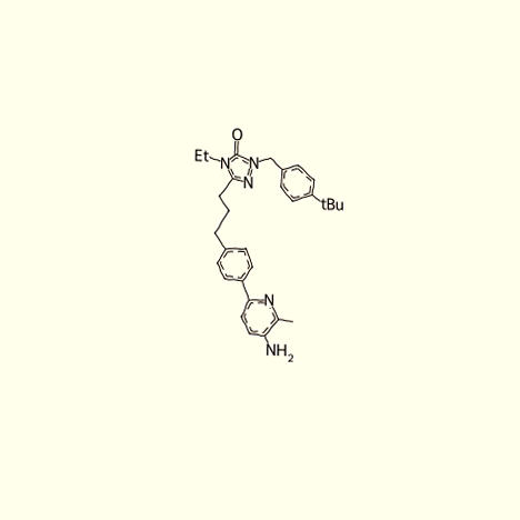 CCn1c(CCCc2ccc(-c3ccc(N)c(C)n3)cc2)nn(Cc2ccc(C(C)(C)C)cc2)c1=O